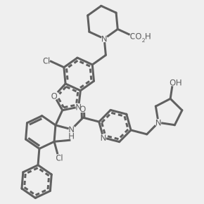 CC1(Cl)C(c2ccccc2)=CC=CC1(NC(=O)c1ccc(CN2CCC(O)C2)cn1)c1nc2cc(CN3CCCCC3C(=O)O)cc(Cl)c2o1